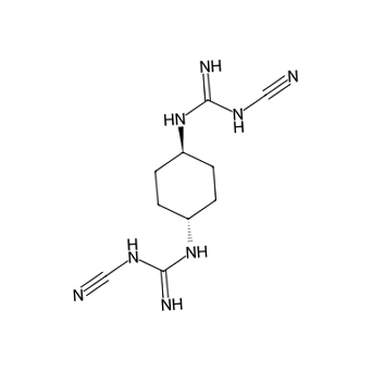 N#CNC(=N)N[C@H]1CC[C@H](NC(=N)NC#N)CC1